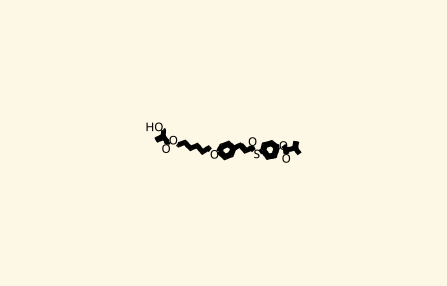 C=C(C)C(=O)Oc1ccc(SC(=O)/C=C/c2ccc(OCCCCCCOC(=O)C(=C)CO)cc2)cc1